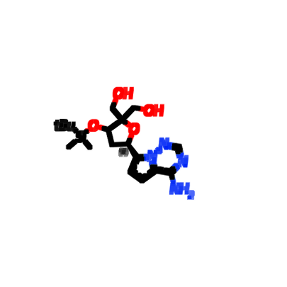 CC(C)(C)[Si](C)(C)OC1C[C@H](c2ccc3c(N)ncnn23)OC1(CO)CO